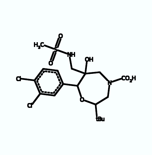 CC(C)(C)C1CN(C(=O)O)CC(O)(CNS(C)(=O)=O)C(c2ccc(Cl)c(Cl)c2)O1